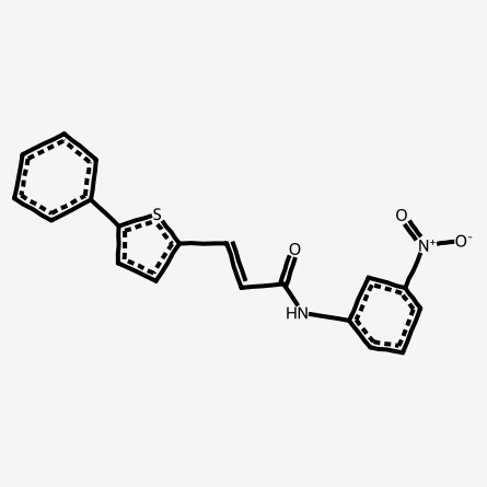 O=C(C=Cc1ccc(-c2ccccc2)s1)Nc1cccc([N+](=O)[O-])c1